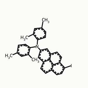 Cc1ccc(N(c2cc3ccc4ccc(I)c5ccc(c2)c3c45)c2ccc(C)cc2C)c(C)c1